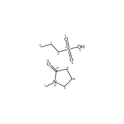 CCCS(=O)(=O)O.CN1CCCC1=O